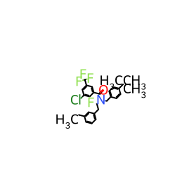 CCc1cccc(CCN(Cc2ccc(C(C)(C)C)cc2)C(=O)c2cc(C(F)(F)F)cc(Cl)c2F)c1